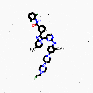 COc1cc(N2CCC(N3CCN(CCF)CC3)CC2)ccc1Nc1nccc(-c2c(-c3cccc(C(=O)Nc4c(F)cccc4F)c3)nc3cc(C(F)(F)F)ccn23)n1